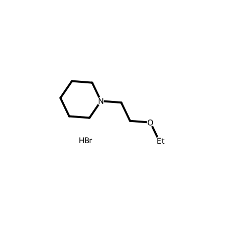 Br.CCOCCN1CCCCC1